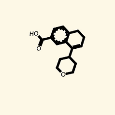 O=C(O)c1ccc2c(c1)C(C1CCOCC1)=CCC2